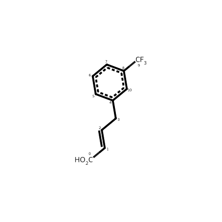 O=C(O)C=CCc1cccc(C(F)(F)F)c1